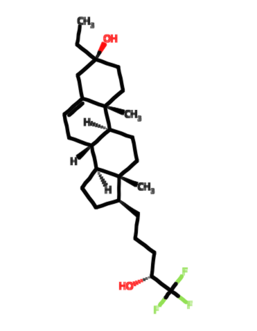 CC[C@]1(O)CC[C@@]2(C)C(=CC[C@H]3[C@@H]4CC[C@H](CCC[C@@H](O)C(F)(F)F)[C@@]4(C)CC[C@@H]32)C1